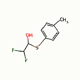 Cc1ccc(SC(O)C(F)F)cc1